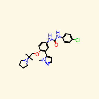 Cn1nccc1-c1cc(NC(=O)Nc2ccc(Cl)cc2)ccc1OCC(C)(C)N1CCCC1